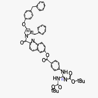 CC(C)(C)OC(=O)/N=C(/NC(=O)OC(C)(C)C)Nc1ccc(C(=O)Oc2ccc3nc(C(=O)N4C[C@@H](Oc5ccc(Cc6ccccc6)cc5)C[C@H]4Cc4ccccc4)ccc3c2)cc1